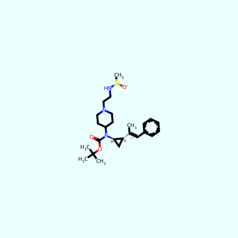 C/C(=C\c1ccccc1)[C@@H]1C[C@H]1N(C(=O)OC(C)(C)C)C1CCN(CCN[S+](C)[O-])CC1